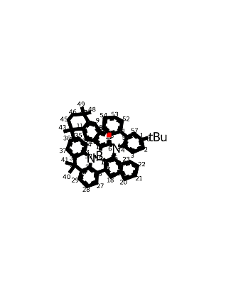 CC(C)(C)c1ccc(N2c3sc4cc5c(cc4c3B3c4c(cc6ccccc6c42)-c2cccc4c2N3c2ccccc2C4(C)C)C(C)(C)CCC5(C)C)c(-c2ccccc2)c1